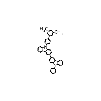 Cc1cc(C)cc(-c2ccc(-n3c4ccccc4c4cc(-c5ccc6c(c5)c5ccccc5n6-c5ccccc5)ccc43)cc2)c1